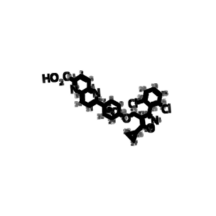 O=C(O)c1ccc2nc(C34CCC(OCc5c(-c6c(Cl)cccc6Cl)noc5C5CC5)(CC3)CC4)ccc2n1